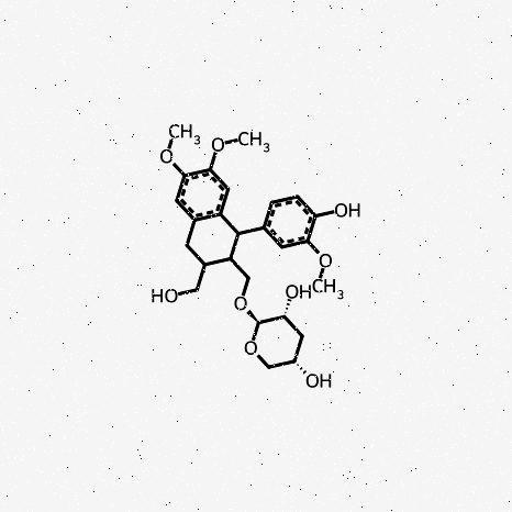 COc1cc(C2c3cc(OC)c(OC)cc3CC(CO)C2CO[C@@H]2OC[C@@H](O)C[C@H]2O)ccc1O